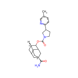 Cc1ccc(C2CCN(C(=O)OC3C4CC5C[C@H]3C[C@@](C(N)=O)(C5)C4)C2)nc1